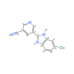 Cn1c(-c2cncc(C#N)c2)nc2ccc(Cl)cc21